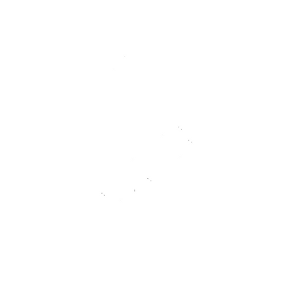 Cc1nn2ccc(OCC3CC3)cc2c1C(=O)NC(C)(CO)C(N)=O